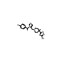 CC(C)c1noc(C2(C)CCN(Cc3cncn3C(C)c3ccc(F)cc3)CC2)n1